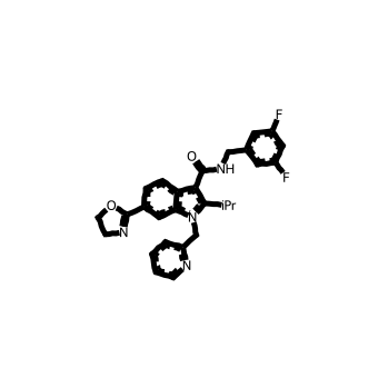 CC(C)c1c(C(=O)NCc2cc(F)cc(F)c2)c2ccc(C3=NCCO3)cc2n1Cc1ccccn1